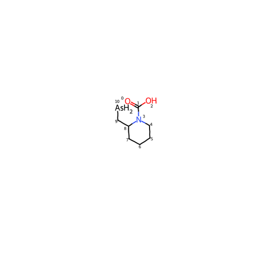 O=C(O)N1CCCCC1C[AsH2]